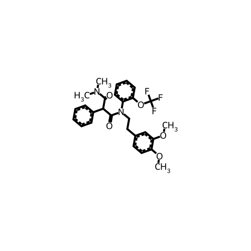 COc1ccc(CCN(C(=O)C(C(=O)N(C)C)c2ccccc2)c2ccccc2OC(F)(F)F)cc1OC